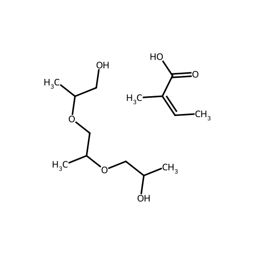 CC(O)COC(C)COC(C)CO.CC=C(C)C(=O)O